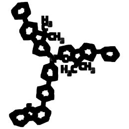 CC1(C)c2cc(-c3ccccc3)ccc2-c2ccc(N(c3ccc(-c4ccc(-c5cccc6c5sc5ccccc56)cc4)cc3)c3ccc4c(c3)C(C)(C)c3cc(-c5ccccc5)ccc3-4)cc21